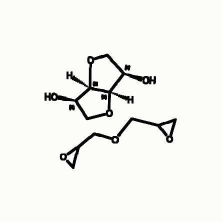 C(OCC1CO1)C1CO1.O[C@@H]1CO[C@H]2[C@@H]1OC[C@H]2O